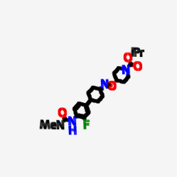 CNC(=O)Nc1ccc(C2CCC(=NOC3CCN(C(=O)OC(C)C)CC3)CC2)cc1F